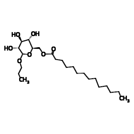 CCCCCCCCCCCCCC(=O)OC[C@H]1OC(OCCC)[C@H](O)[C@@H](O)[C@@H]1O